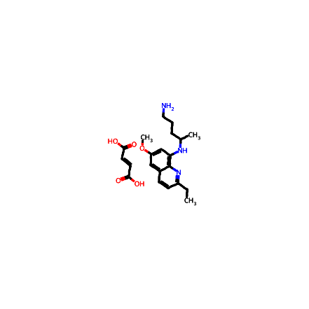 CCc1ccc2cc(OC)cc(NC(C)CCCN)c2n1.O=C(O)C=CC(=O)O